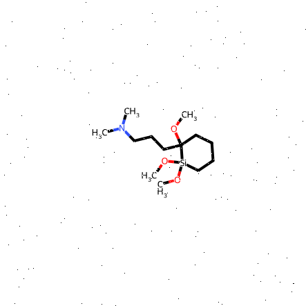 COC1(CCCN(C)C)CCCC[Si]1(OC)OC